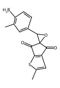 Bc1ccc(C2OC23C(=O)c2cc(C)sc2C3=O)cc1C